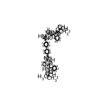 CC(C)(C)OC(=O)N[C@@H](C(=O)N1CCC[C@H]1c1nc(-c2ccc(-c3ccc(-c4c[nH]c([C@@H]5CCCN5C(=O)[C@H](NC(=O)OC(C)(C)C)C5C=CC=CC5)n4)cc3)cc2)c[nH]1)c1ccccc1